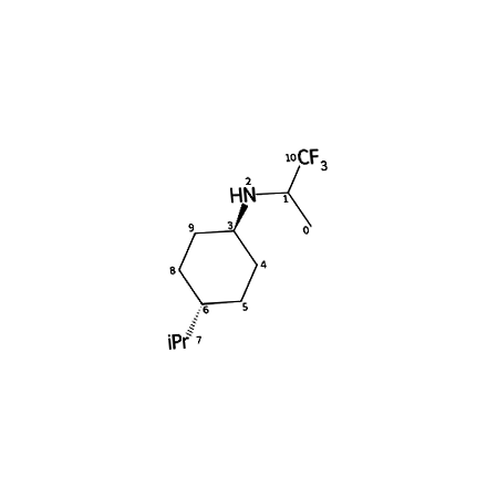 CC(N[C@H]1CC[C@H](C(C)C)CC1)C(F)(F)F